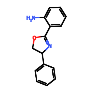 Nc1ccccc1C1=NC(c2ccccc2)CO1